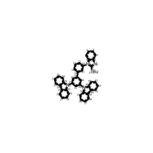 CC(C)(C)c1nc2ccccc2n1-c1cccc(-c2cc(-n3c4ccccc4c4ccccc43)cc(-n3c4ccccc4c4ccccc43)c2)c1